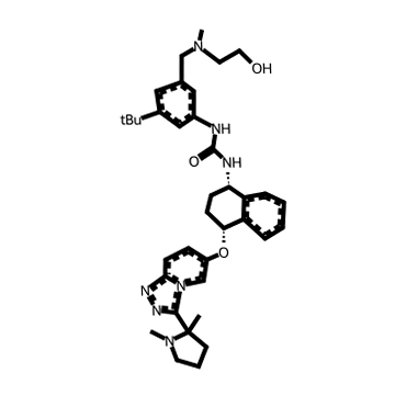 CN(CCO)Cc1cc(NC(=O)N[C@H]2CC[C@@H](Oc3ccc4nnc(C5(C)CCCN5C)n4c3)c3ccccc32)cc(C(C)(C)C)c1